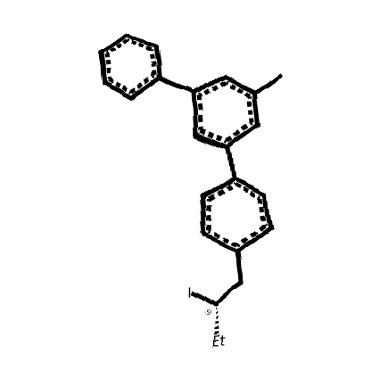 CC[C@H](I)Cc1ccc(-c2cc(C)cc(-c3ccccc3)c2)cc1